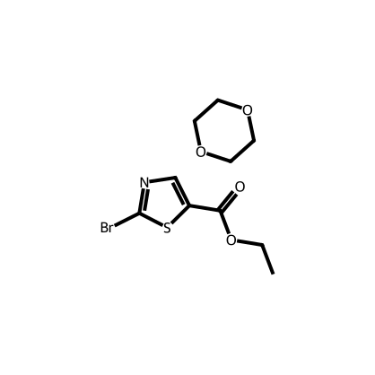 C1COCCO1.CCOC(=O)c1cnc(Br)s1